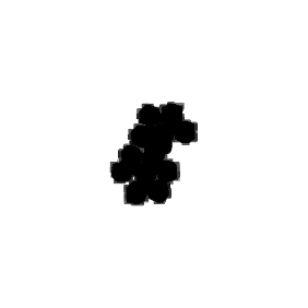 c1ccc(N(c2ccccc2)c2cc3c4c(c2)N(c2ccccc2)c2ccccc2B4c2cc4c(cc2O3)N(c2ccccc2)c2cc(N(c3ccccc3)c3ccccc3)cc3c2B4c2cccc4c5ccccc5n-3c24)cc1